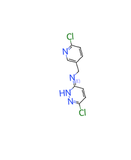 Clc1ccc(C/N=c2\ccc(Cl)n[nH]2)cn1